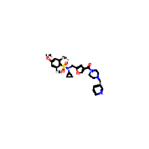 COc1cc(C)c(S(=O)(=O)N(Cc2cc(C(=O)N3CCN(Cc4cccnc4)CC3)co2)C2CC2)c(C)c1